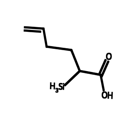 C=CCCC([SiH3])C(=O)O